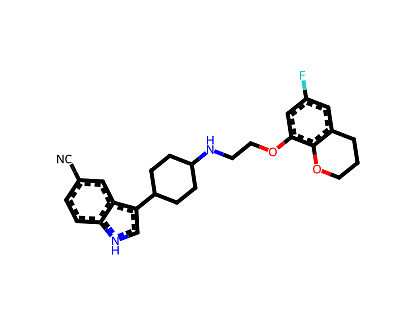 N#Cc1ccc2[nH]cc(C3CCC(NCCOc4cc(F)cc5c4OCCC5)CC3)c2c1